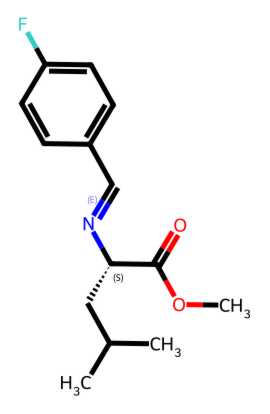 COC(=O)[C@H](CC(C)C)/N=C/c1ccc(F)cc1